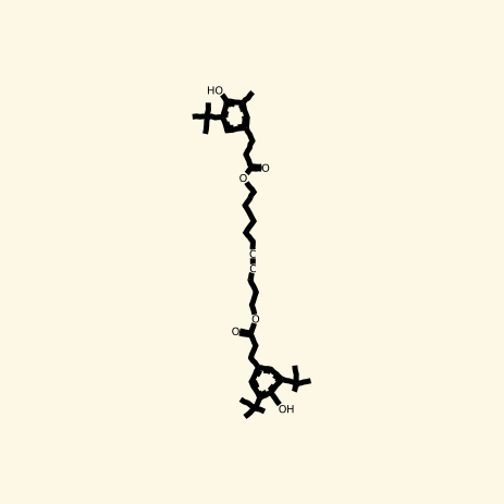 Cc1cc(CCC(=O)OCCCCCCCCCCOC(=O)CCc2cc(C(C)(C)C)c(O)c(C(C)(C)C)c2)cc(C(C)(C)C)c1O